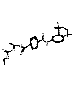 CCOC(=O)OC(C)OC(=O)c1ccc(C(=O)Nc2ccc3c(c2)C(C)(C)CCC3(C)C)cc1